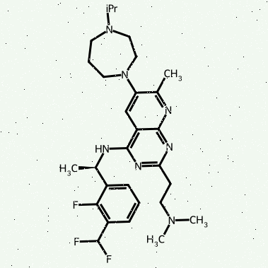 Cc1nc2nc(CCN(C)C)nc(N[C@H](C)c3cccc(C(F)F)c3F)c2cc1N1CCCN(C(C)C)CC1